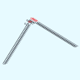 O=[N+]([O-])O.O=[N+]([O-])O.O=[N+]([O-])O.O=[N+]([O-])O.O=[N+]([O-])O.[Ca+2].[Ca+2].[Ca+2].[Ca+2].[Ca+2].[Ca+2].[Ca+2].[Ca+2].[Ca+2].[Ca+2].[Ca+2].[Ca+2].[Ca+2].[Ca+2].[Ca+2].[Ca+2].[Ca+2].[Ca+2].[Ca+2].[Ca+2].[Ca+2].[Ca+2].[Ca+2].[Ca+2].[Ca+2].[Ca+2].[Ca+2].[Ca+2].[Ca+2].[Ca+2].[Ca+2].[Ca+2].[Ca+2].[Ca+2].[Ca+2].[Ca+2].[Ca+2].[Ca+2].[Ca+2].[Ca+2].[Ca+2].[Ca+2].[Ca+2].[Ca+2].[Ca+2].[Ca+2].[Ca+2].[Ca+2].[Ca+2].[Ca+2].[Ca+2].[Ca+2].[Ca+2].[Ca+2].[Ca+2].[Ca+2].[Ca+2].[Ca+2].[Ca+2].[Ca+2]